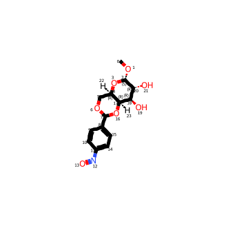 CO[C@H]1O[C@@H]2COC(c3ccc(N=O)cc3)O[C@@H]2[C@H](O)[C@H]1O